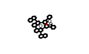 c1ccc2c(-c3cc(-c4ccc5oc6ccccc6c5c4)c4oc5c(-c6ccc7oc8ccccc8c7c6)cc(-c6cccc7ccccc67)c6cccc(c7cccc3c47)c65)cccc2c1